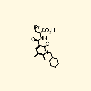 Cc1cc(C(=O)N[C@@H](CC(C)C)C(=O)O)c(=O)n(CC2CCCCC2)c1C